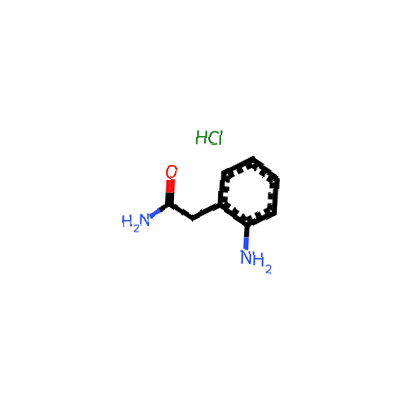 Cl.NC(=O)Cc1ccccc1N